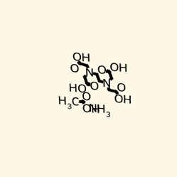 CC(=O)O.N.O=C(O)CN(CCN(CC(=O)O)CC(=O)O)CC(=O)O